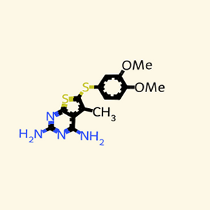 COc1ccc(Sc2sc3nc(N)nc(N)c3c2C)cc1OC